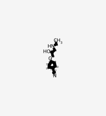 CCNCC(O)COc1ccc(C#N)cc1